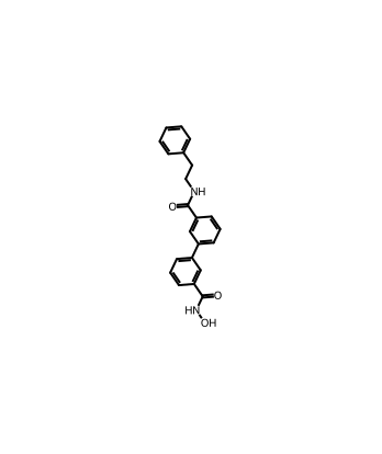 O=C(NO)c1cccc(-c2cccc(C(=O)NCCc3ccccc3)c2)c1